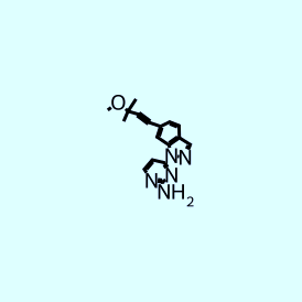 COC(C)(C)C#Cc1ccc2cnn(-c3ccnc(N)n3)c2c1